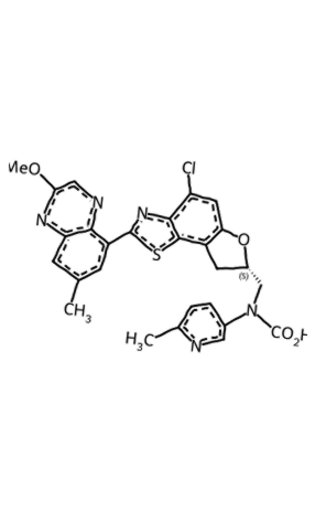 COc1cnc2c(-c3nc4c(Cl)cc5c(c4s3)C[C@@H](CN(C(=O)O)c3ccc(C)nc3)O5)cc(C)cc2n1